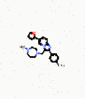 COc1ccc(-c2nc3ccc(-c4ccco4)cn3c2CN2CCCN(C)CC2)cc1